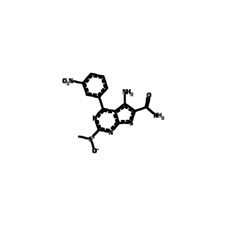 C[S+]([O-])c1nc(-c2cccc([N+](=O)[O-])c2)c2c(N)c(C(N)=O)sc2n1